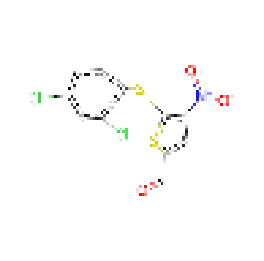 O=Cc1cc([N+](=O)[O-])c(Sc2ccc(Cl)cc2Cl)s1